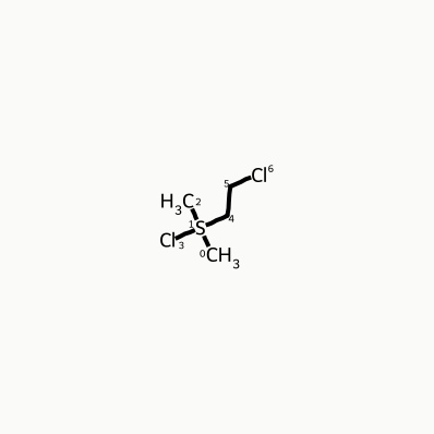 CS(C)(Cl)CCCl